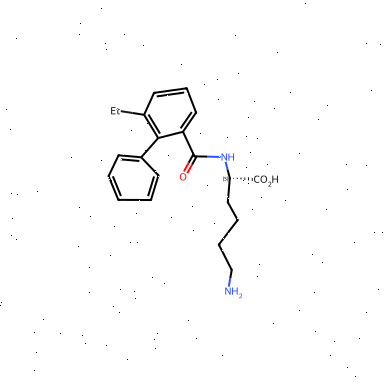 CCc1cccc(C(=O)N[C@@H](CCCCN)C(=O)O)c1-c1ccccc1